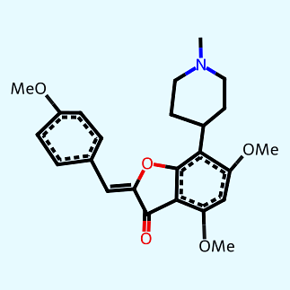 COc1ccc(/C=C2\Oc3c(c(OC)cc(OC)c3C3CCN(C)CC3)C2=O)cc1